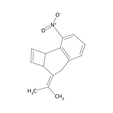 CC(C)=C1Cc2cccc([N+](=O)[O-])c2C2C=CC12